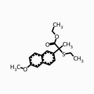 CCOC(=O)C(C)(SCC)c1ccc2cc(OC)ccc2c1